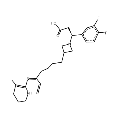 C=C/C(CCCCC1CN([C@@H](CC(=O)O)c2ccc(F)c(F)c2)C1)=N\C1=C(C)CCCN1